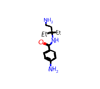 CCC(CC)(CCN)NC(=O)c1ccc(N)cc1